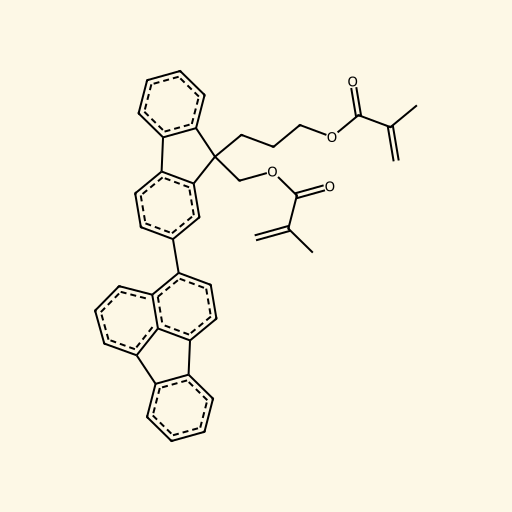 C=C(C)C(=O)OCCCC1(COC(=O)C(=C)C)c2ccccc2-c2ccc(-c3ccc4c5c(cccc35)-c3ccccc3-4)cc21